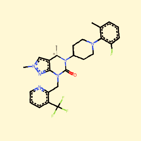 Cc1cccc(F)c1N1CCC(N2C(=O)N(Cc3ncccc3C(F)(F)F)c3nn(C)cc3[C@@H]2C)CC1